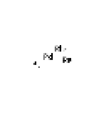 [Pd].[Pt].[Re].[Rh]